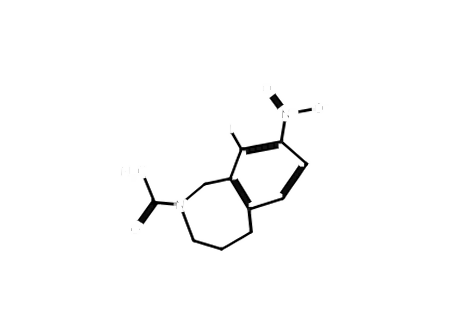 CC(=O)N1CCCc2ccc([N+](=O)[O-])c(I)c2C1